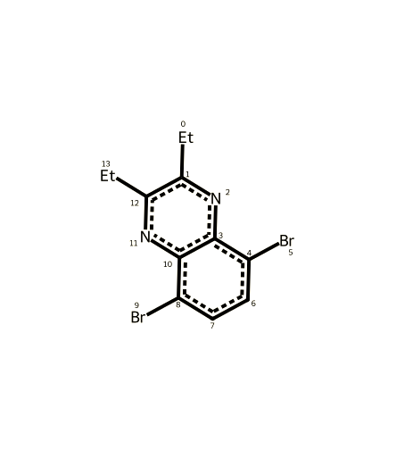 CCc1nc2c(Br)ccc(Br)c2nc1CC